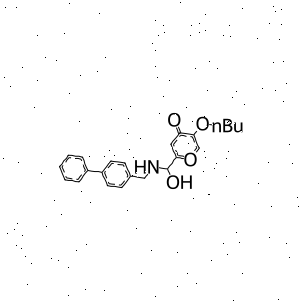 CCCCOc1coc(C(O)NCc2ccc(-c3ccccc3)cc2)cc1=O